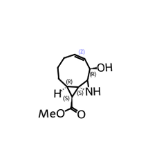 COC(=O)[C@H]1[C@H]2CCC/C=C\[C@@H](O)C3N[C@@]321